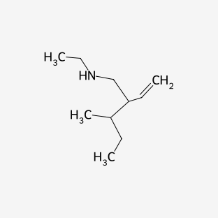 C=CC(CNCC)C(C)CC